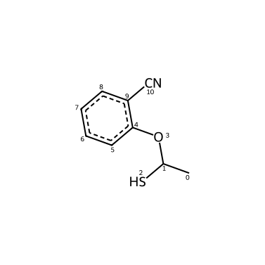 CC(S)Oc1ccccc1C#N